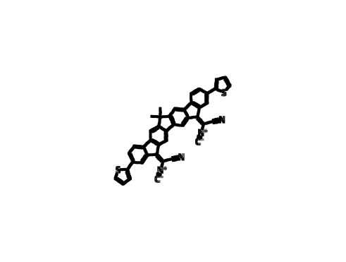 [C-]#[N+]/C(C#N)=C1/c2cc(-c3cccs3)ccc2-c2cc3c(cc21)-c1cc2c(cc1C3(C)C)-c1ccc(-c3cccs3)cc1/C2=C(/C#N)[N+]#[C-]